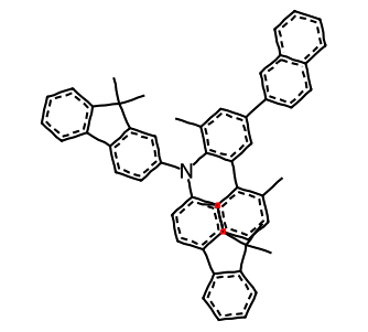 Cc1cccc(C)c1-c1cc(-c2ccc3ccccc3c2)cc(C)c1N(c1ccc2c(c1)C(C)(C)c1ccccc1-2)c1ccc2c(c1)C(C)(C)c1ccccc1-2